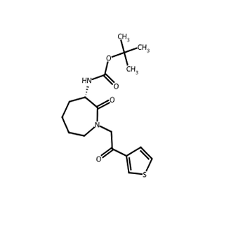 CC(C)(C)OC(=O)N[C@H]1CCCCN(CC(=O)c2ccsc2)C1=O